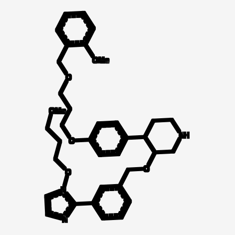 COCCCOn1ccnc1-c1cccc(COC2CNCCC2c2ccc(OCCCOCc3ccccc3OC)cc2)c1